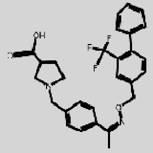 CC(=NOCc1ccc(-c2ccccc2)c(C(F)(F)F)c1)c1ccc(CN2CCC(C(=O)O)C2)cc1